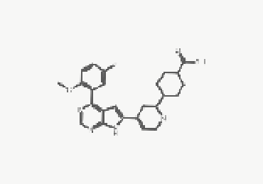 COc1ccc(F)cc1-c1ncnc2[nH]c(C3=CCNC(C4CCC(C(=O)O)CC4)C3)cc12